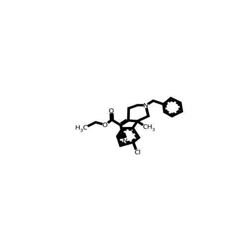 CCOC(=O)C(C#N)=C1CCN(Cc2ccccc2)CC1(C)c1cccc(Cl)c1